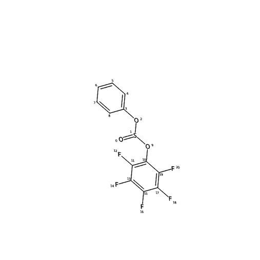 O=S(Oc1ccccc1)Oc1c(F)c(F)c(F)c(F)c1F